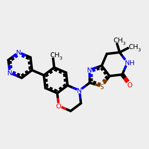 Cc1cc2c(cc1-c1cncnc1)OCCN2c1nc2c(s1)C(=O)NC(C)(C)C2